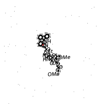 CCOC(CO/N=C\C(=O)NC1C(=O)N2C(OC(=O)OCC(=O)OCOC)=C(COC)CS[C@@H]12)c1csc(NC(c2ccccc2)(c2ccccc2)c2ccccc2)n1